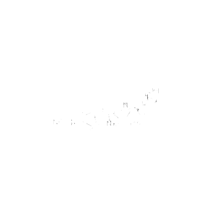 N#CCNCc1ccc(Cc2cc(-c3ccc[n+](COP(=O)([O-])O)c3N)on2)cc1